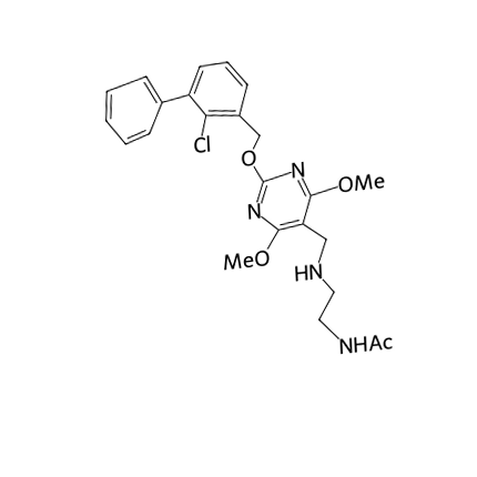 COc1nc(OCc2cccc(-c3ccccc3)c2Cl)nc(OC)c1CNCCNC(C)=O